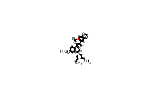 CCCCN(CCCC)C(=O)CN1C[C@H](c2ccc3c(c2)OCO3)[C@H](OC(=O)O)[C@H]1C1CCC(OC)CC1